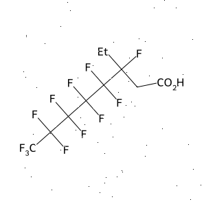 CCC(F)(CC(=O)O)C(F)(F)C(F)(F)C(F)(F)C(F)(F)C(F)(F)F